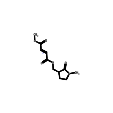 COC(=O)/C=C/C(=O)OCC1CCN(C)C1=O